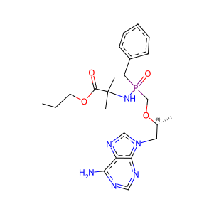 CCCOC(=O)C(C)(C)NP(=O)(CO[C@H](C)Cn1cnc2c(N)ncnc21)Cc1ccccc1